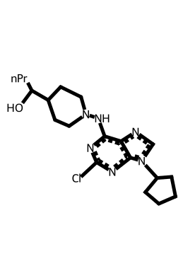 CCCC(O)C1CCN(Nc2nc(Cl)nc3c2ncn3C2CCCC2)CC1